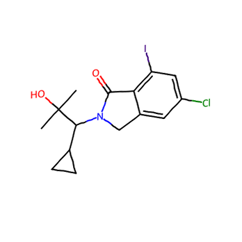 CC(C)(O)C(C1CC1)N1Cc2cc(Cl)cc(I)c2C1=O